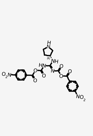 O=C(N=C(NC(=O)OC(=O)c1ccc([N+](=O)[O-])cc1)N[C@@H]1CCNC1)OC(=O)c1ccc([N+](=O)[O-])cc1